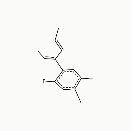 CC=C/C(=C\C)c1cc(C)c(C)cc1F